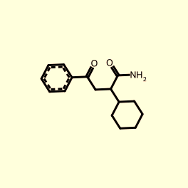 NC(=O)C(CC(=O)c1ccccc1)C1CCCCC1